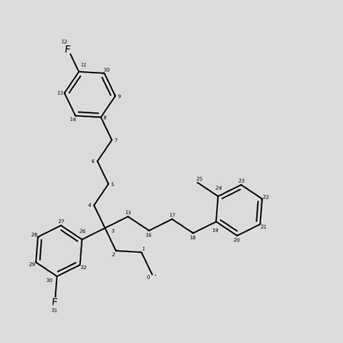 [CH2]CCC(CCCCc1ccc(F)cc1)(CCCCc1ccccc1C)c1cccc(F)c1